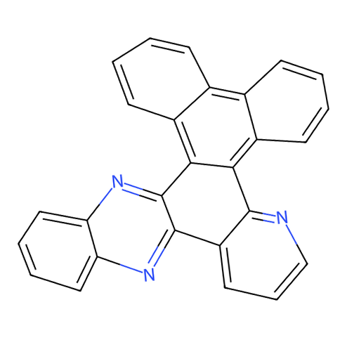 c1ccc2nc3c(nc2c1)c1cccnc1c1c2ccccc2c2ccccc2c31